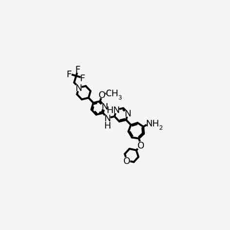 COc1nc(NC2C=C(C3=CC(N)=C=C(OC4CCOCC4)C=C3)N=CN2)ccc1C1CCN(CC(F)(F)F)CC1